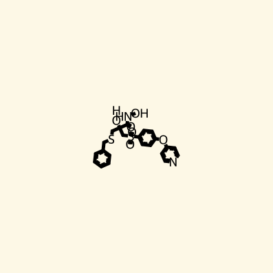 O=C(NO)C(O)(CSCc1ccccc1)CS(=O)(=O)c1ccc(Oc2ccncc2)cc1